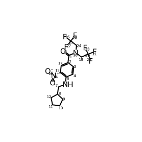 O=C(c1ccc(NCC2CCCC2)c([N+](=O)[O-])c1)N(CC(F)(F)F)CC(F)(F)F